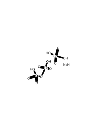 [NaH].[O]=[Cr](=[O])([OH])[OH].[O]=[Cr](=[O])([OH])[O][Cr](=[O])(=[O])[OH]